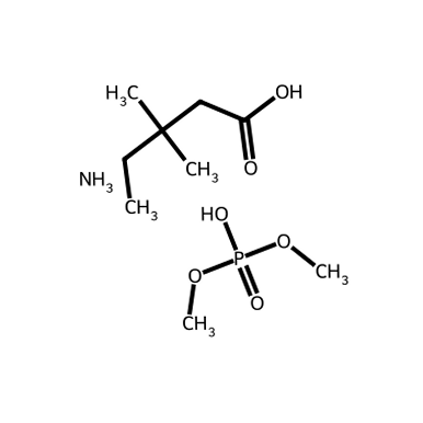 CCC(C)(C)CC(=O)O.COP(=O)(O)OC.N